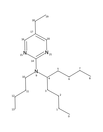 CCCCC(CCCC)N(CCCC)c1ncc(CC)cn1